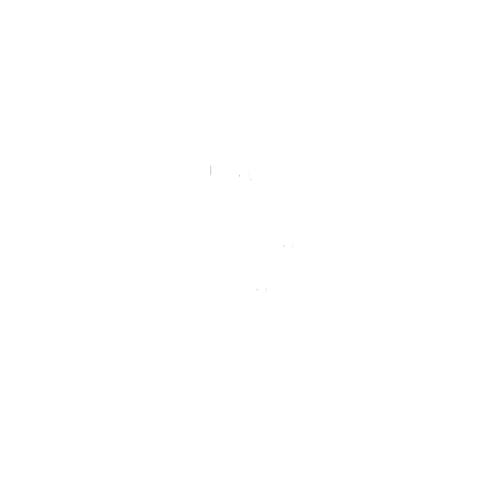 CC(C)OC(=O)c1cccc(F)c1S(=O)(=O)Cl